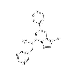 CN(Cc1cncnc1)c1cc(-c2ccccc2)cc2c(Br)cnn12